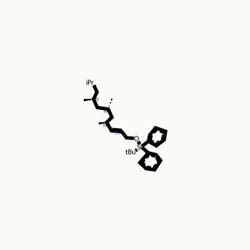 CC(C)C[C@H](C)C[C@H](C)C[C@H](C)/C=C/CO[Si](c1ccccc1)(c1ccccc1)C(C)(C)C